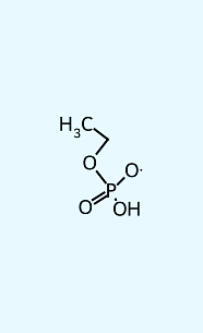 CCOP([O])(=O)O